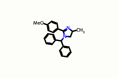 COc1ccc(C2=NC(C)CN2C(c2ccccc2)c2ccccc2)cc1